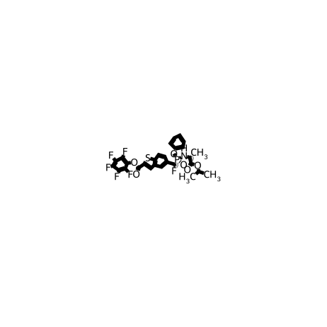 CC(C)OC(=O)[C@H](C)NP(=O)(Oc1ccccc1)[C@H](F)c1ccc2sc(C(=O)Oc3c(F)c(F)c(F)c(F)c3F)cc2c1